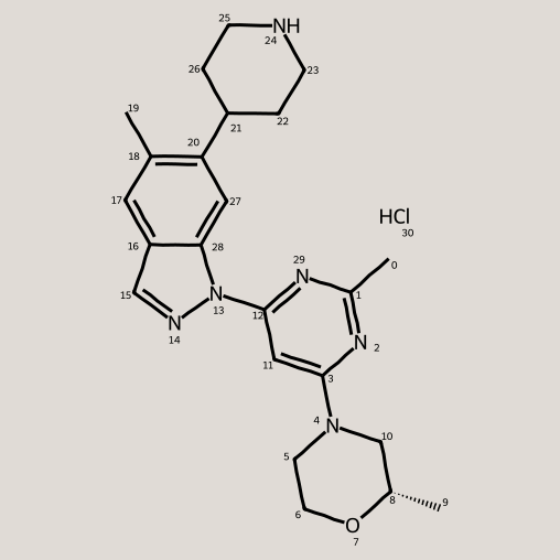 Cc1nc(N2CCO[C@@H](C)C2)cc(-n2ncc3cc(C)c(C4CCNCC4)cc32)n1.Cl